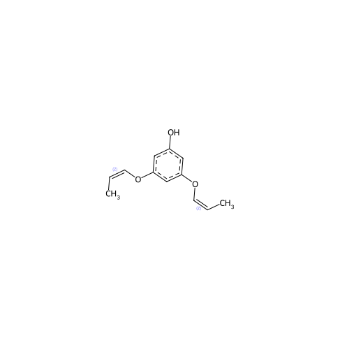 C/C=C\Oc1cc(O)cc(O/C=C\C)c1